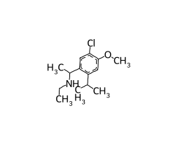 CCNC(C)c1cc(Cl)c(OC)cc1C(C)C